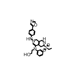 CCS(=O)(=O)C1CC2=C(CN1)CN(Nc1ccc(-c3cnco3)cc1)C=C2N(CCO)c1ccccc1